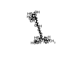 CNc1ncnc2c1ncn2C1O[C@H](COP(=O)(O)O)[C@@H](O)[C@H]1OCOCCOCCNC(=O)CCCCOC1O[C@@H](CO)[C@@H](O)C(O)[C@@H]1NC(C)=O